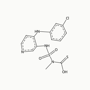 CN(C(O)=S)S(=O)(=O)Nc1cnccc1Nc1cccc(Cl)c1